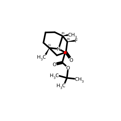 CC(C)(C)OC(=O)CN1[C@@]2(C)CCC[C@]1(C)[C@@H](F)C(=O)C2